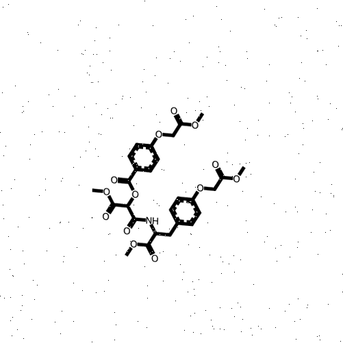 COC(=O)COc1ccc(CC(NC(=O)C(OC(=O)c2ccc(OCC(=O)OC)cc2)C(=O)OC)C(=O)OC)cc1